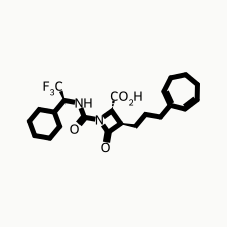 O=C(O)[C@@H]1[C@@H](CCCC2=CCCCC=C2)C(=O)N1C(=O)N[C@@H](C1CCCCC1)C(F)(F)F